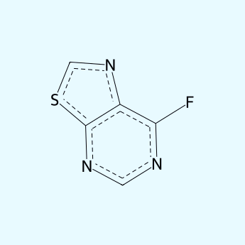 Fc1ncnc2scnc12